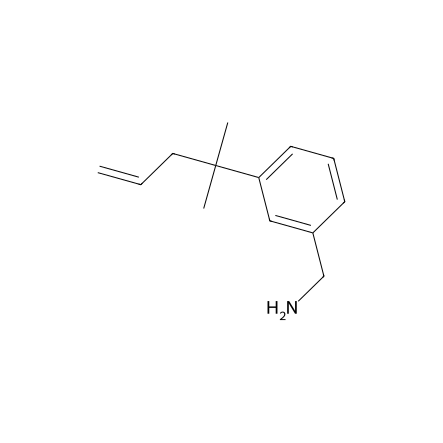 C=CCC(C)(C)c1cccc(CN)c1